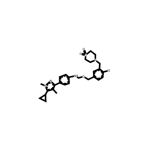 Cc1c(-c2ccc(NCOCc3ccc(Cl)c(CN4CCS(=O)(=O)CC4)c3)cc2)nn(C)c1C1CC1